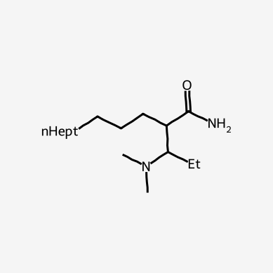 CCCCCCCCCCC(C(N)=O)C(CC)N(C)C